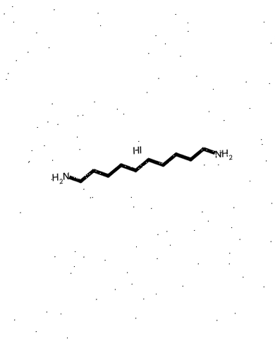 I.NCCCCCCCCCCN